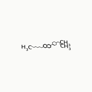 CCCCCCCc1ccc2cc(C3=CCC(CC(C)CC)CC3)ccc2c1